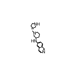 c1cc2cc(NC3CCCN(C[C@@H]4CCNC4)C3)ccc2cn1